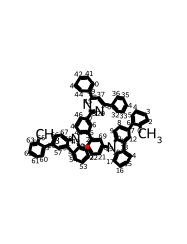 Cc1ccccc1-c1ccc2c(c1)c1ccccc1n2-c1cccc(-c2cc(-c3nc(-c4ccccc4)cc(-c4ccccc4)n3)ccc2-n2c3ccccc3c3cc(-c4ccccc4C)ccc32)c1